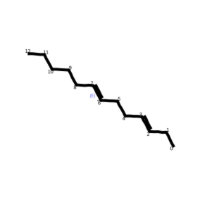 CCC=CCC/[C]=C/CCCCC